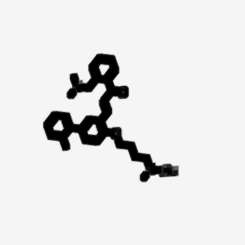 Cc1ccccc1-c1ccc(OCCCCN(C)C(C)(C)C)c(C=CC(=O)c2ccccc2CN(C)C)c1